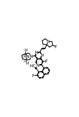 C#Cc1c(F)ccc2cccc(-c3ncc4c(N5C[C@H]6CC[C@@H](C5)N6)nc(/C=C/C56CCCN5CC(F)C6)nc4c3F)c12